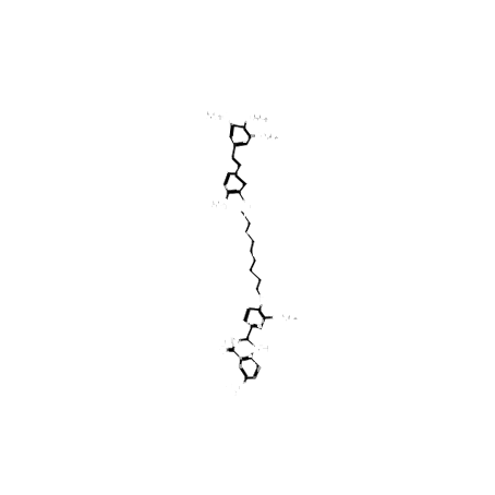 COc1cc(C2NC(=O)c3cc(C)ccc3N2)ccc1OCCCCCCCCCOc1cc(/C=C/c2cc(OC)c(OC)c(OC)c2)ccc1OC